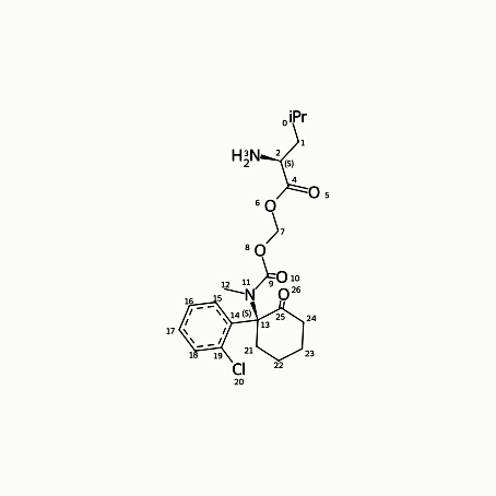 CC(C)C[C@H](N)C(=O)OCOC(=O)N(C)[C@]1(c2ccccc2Cl)CCCCC1=O